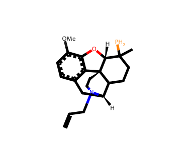 C=CCN1CC[C@@]23c4c5ccc(OC)c4O[C@@H]2C(C)(P)CCC3[C@@H]1C5